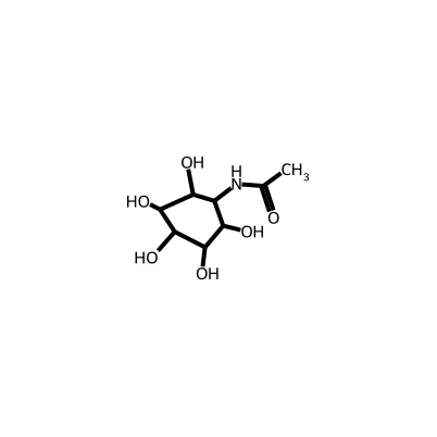 CC(=O)NC1C(O)C(O)C(O)C(O)C1O